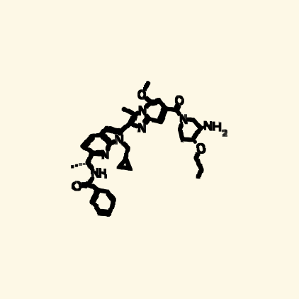 CCCO[C@@H]1CCN(C(=O)c2cc(OC)n3c(C)c(-c4cc5ccc([C@@H](C)NC(=O)c6ccccc6)nc5n4CC4CC4)nc3c2)C[C@@H]1N